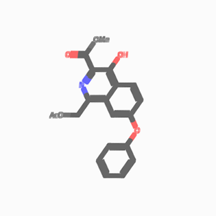 COC(=O)c1nc(COC(C)=O)c2cc(Oc3ccccc3)ccc2c1O